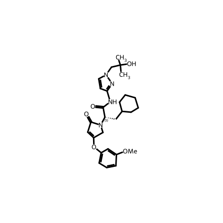 COc1cccc(OC2=CC(=O)N([C@@H](CC3CCCCC3)C(=O)Nc3ccn(CC(C)(C)O)n3)C2)c1